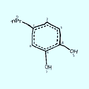 CC[CH]c1ccc(O)c(O)c1